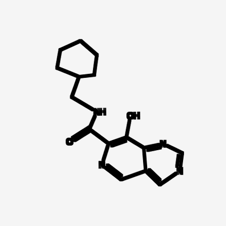 O=C(NCC1CCCCC1)c1ncc2cncnc2c1O